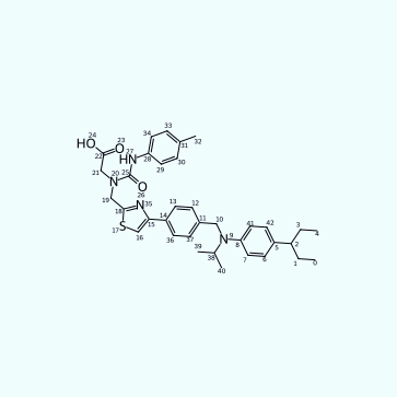 CCC(CC)c1ccc(N(Cc2ccc(-c3csc(CN(CC(=O)O)C(=O)Nc4ccc(C)cc4)n3)cc2)C(C)C)cc1